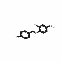 Nc1ccc(OCc2ccc(F)cc2)c(Cl)c1